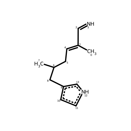 C/C(C=N)=C\CC(C)Cc1cc[nH]c1